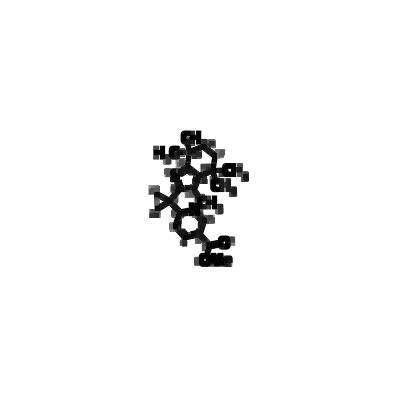 COC(=O)c1ccc(C2(c3sc4c(c3C)C(C)(C)CCC4(C)C)CC2)nc1